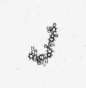 Cc1cccc(C)c1Nc1nn(C)c2nc(Nc3ccc4c(c3)CN(C(=O)NCc3ccc5c(c3)CN(C3CCC(=O)NC3=O)C5=O)CC4)ncc12